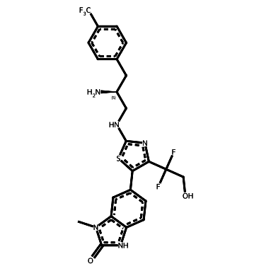 Cn1c(=O)[nH]c2ccc(-c3sc(NC[C@@H](N)Cc4ccc(C(F)(F)F)cc4)nc3C(F)(F)CO)cc21